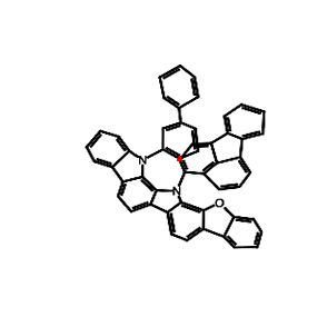 c1ccc(-c2cccc(-n3c4ccccc4c4ccc5c6ccc7c8ccccc8oc7c6n(-c6ccc7c8c(cccc68)-c6ccccc6-7)c5c43)c2)cc1